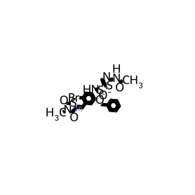 CC(=O)Nc1ncc([S+]([O-])Nc2cc(Br)c(/C=C3\SC(=O)N(C)C3=O)cc2OCc2ccccc2)s1